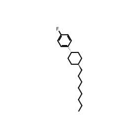 CCCCCCCC[C@H]1CC[C@H](c2ccc(F)cc2)CC1